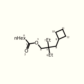 CCCCCCC(=O)OCC(CC)(CC)CC1CCC1